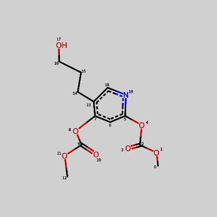 COC(=O)Oc1cc(OC(=O)OC)c(CCCO)cn1